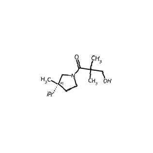 CC(C)[C@@]1(C)CCN(C(=O)C(C)(C)CO)C1